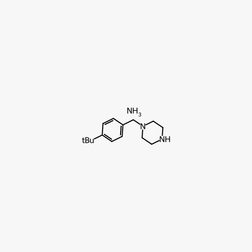 CC(C)(C)c1ccc(CN2CCNCC2)cc1.N